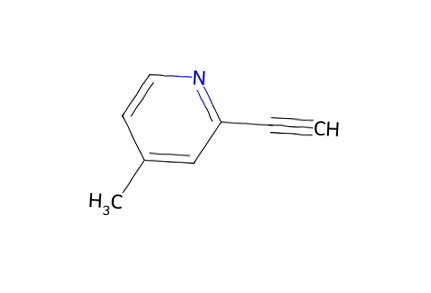 C#Cc1cc(C)ccn1